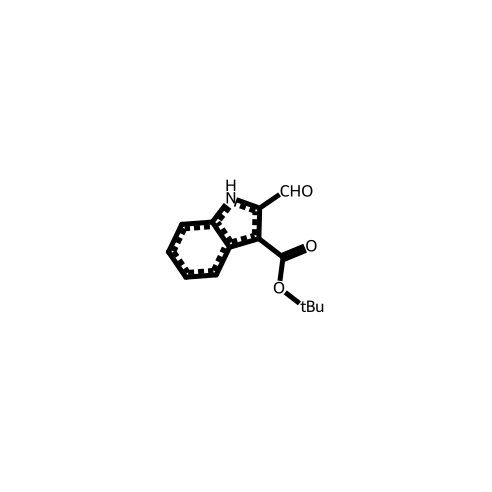 CC(C)(C)OC(=O)c1c(C=O)[nH]c2ccccc12